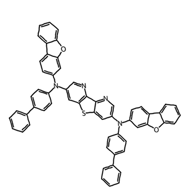 c1ccc(-c2ccc(N(c3ccc4c(c3)oc3ccccc34)c3cnc4c(c3)sc3cc(N(c5ccc(-c6ccccc6)cc5)c5ccc6c(c5)oc5ccccc56)cnc34)cc2)cc1